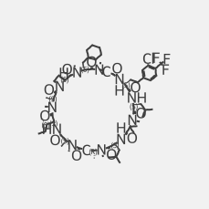 CC[C@H](C)[C@@H]1NC(=O)[C@H](C)N(C)C(=O)C[C@@H](C)N(C)C(=O)[C@H](CC(C)C)NC(=O)C(C)(C)N(C)C(=O)[C@H](CC(C)C)NC(=O)[C@H](CCc2ccc(C(F)(F)F)c(Cl)c2)NC(=O)CN(C)C(=O)[C@H](CC2CCCCC2)N(C)C(=O)[C@@H]2CCN2C(=O)[C@H](C)N(C)C1=O